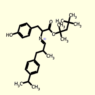 CC(/C=N/C(Cc1ccc(O)cc1)C(=O)OC(C)(C)CC(C)(C)C)Cc1ccc(C(C)C)cc1